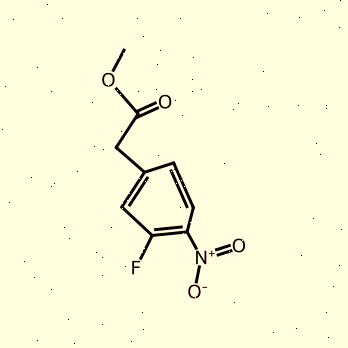 COC(=O)Cc1ccc([N+](=O)[O-])c(F)c1